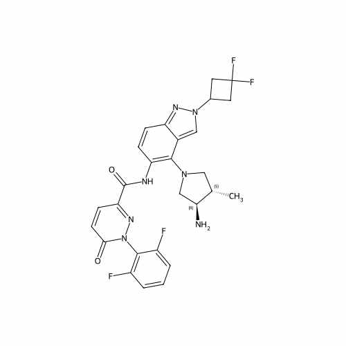 C[C@H]1CN(c2c(NC(=O)c3ccc(=O)n(-c4c(F)cccc4F)n3)ccc3nn(C4CC(F)(F)C4)cc23)C[C@@H]1N